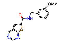 COc1cccc(CNC(=O)c2cc3cncnc3s2)c1